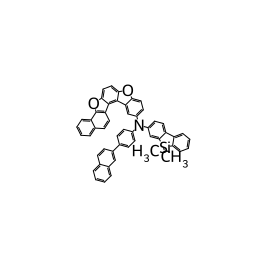 C[Si]1(C)c2ccccc2-c2ccc(N(c3ccc(-c4ccc5ccccc5c4)cc3)c3ccc4oc5ccc6oc7c8ccccc8ccc7c6c5c4c3)cc21